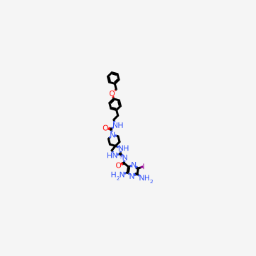 Nc1nc(N)c(C(=O)/N=C2\NCC3(CCN(C(=O)NCCc4ccc(OCc5ccccc5)cc4)CC3)N2)nc1I